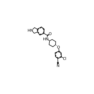 N#Cc1ccc(O[C@H]2CC[C@H](NC(=O)c3ccc4c(c3)CNC4)CC2)cc1Cl